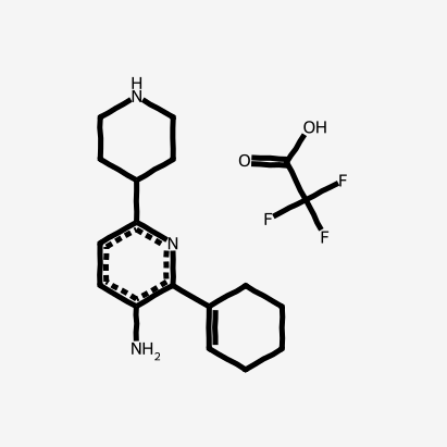 Nc1ccc(C2CCNCC2)nc1C1=CCCCC1.O=C(O)C(F)(F)F